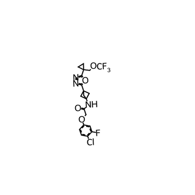 O=C(COc1ccc(Cl)c(F)c1)NC12CC(c3nnc(C4(COC(F)(F)F)CC4)o3)(C1)C2